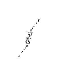 CCCCCCCCCCOc1ccc(N=Nc2ccc(OCCCCCCCCCC)c(C)c2)cc1